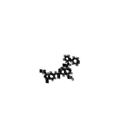 Cc1c[nH]c2ccc(CNC(=O)Cn3c(C)cnc(NC[C@H]4CCCN4C4CCOCC4)c3=O)cc12